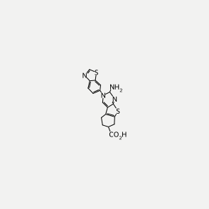 NC1N=c2sc3c(c2=CN1c1ccc2ncsc2c1)CCC(C(=O)O)C3